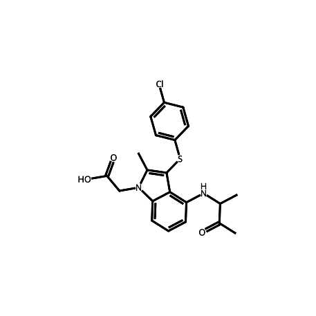 CC(=O)C(C)Nc1cccc2c1c(Sc1ccc(Cl)cc1)c(C)n2CC(=O)O